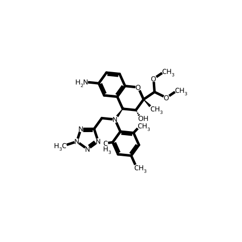 COC(OC)[C@@]1(C)Oc2ccc(N)cc2[C@H](N(Cc2nnn(C)n2)c2c(C)cc(C)cc2C)[C@H]1O